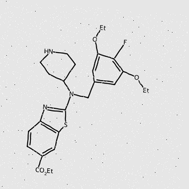 CCOC(=O)c1ccc2nc(N(Cc3cc(OCC)c(F)c(OCC)c3)C3CCNCC3)sc2c1